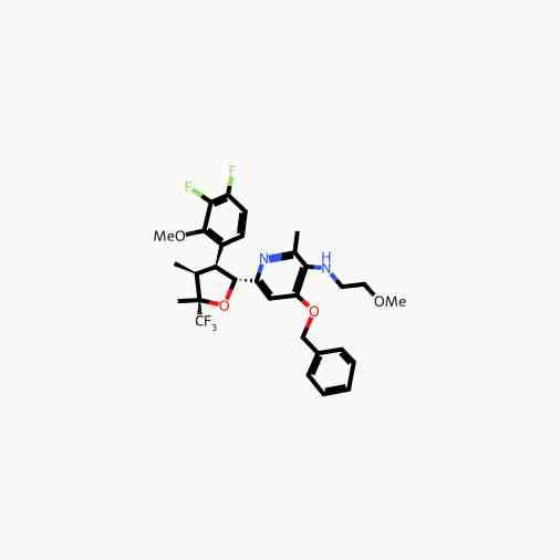 COCCNc1c(OCc2ccccc2)cc([C@@H]2O[C@@](C)(C(F)(F)F)[C@@H](C)[C@H]2c2ccc(F)c(F)c2OC)nc1C